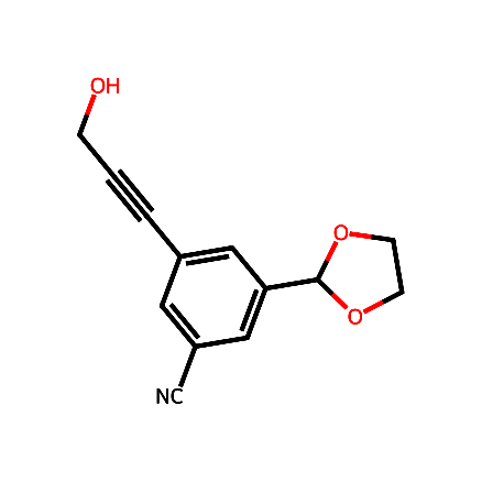 N#Cc1cc(C#CCO)cc(C2OCCO2)c1